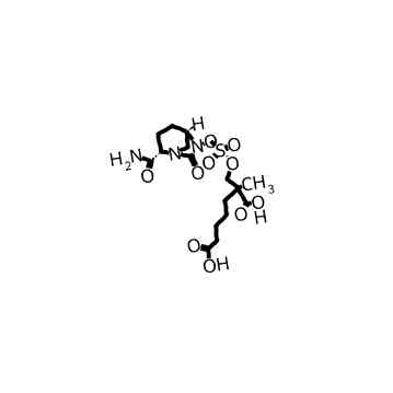 CC(CCCCC(=O)O)(COS(=O)(=O)ON1C(=O)N2C[C@H]1CC[C@H]2C(N)=O)C(=O)O